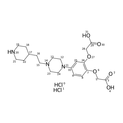 Cl.Cl.O=C(O)COc1ccc(N2CCN(CCC3CCNCC3)CC2)cc1OCC(=O)O